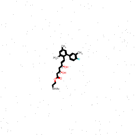 CC(=O)NCCOC(=O)C[C@H](O)C[C@H](O)C=Cc1c(C)cc(C)cc1-c1ccc(F)c(C)c1